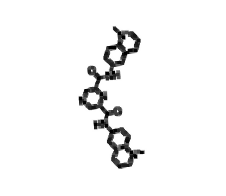 C[n+]1cccc2cc(NC(=O)c3cncc(C(=O)Nc4ccc5c(ccc[n+]5C)c4)n3)ccc21